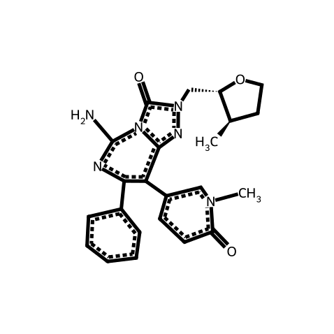 C[C@@H]1CCO[C@H]1Cn1nc2c(-c3ccc(=O)n(C)c3)c(-c3ccccc3)nc(N)n2c1=O